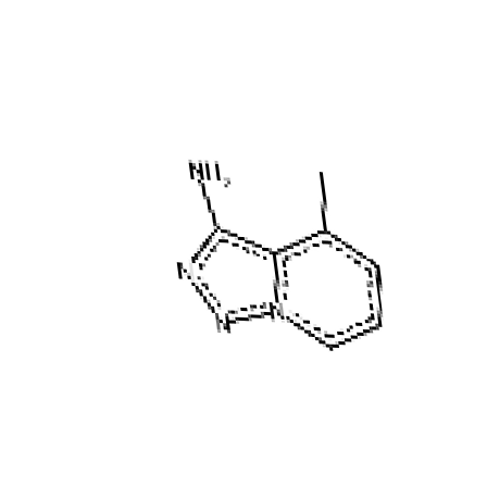 Cc1cccn2nnc(N)c12